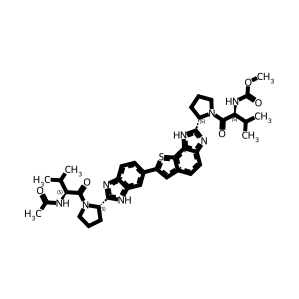 COC(=O)N[C@H](C(=O)N1CCC[C@H]1c1nc2ccc3cc(-c4ccc5nc([C@@H]6CCCN6C(=O)[C@@H](NC(C)=O)C(C)C)[nH]c5c4)sc3c2[nH]1)C(C)C